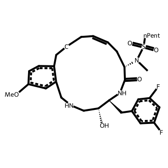 CCCCCS(=O)(=O)N(C)[C@H]1CC=CCCCc2ccc(OC)cc2CNC[C@@H](O)[C@H](Cc2cc(F)cc(F)c2)NC1=O